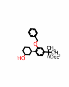 CCCCCCCCCCC(C)(C)c1ccc([C@@H]2CCC[C@H](O)C2)c(OCc2ccccc2)c1